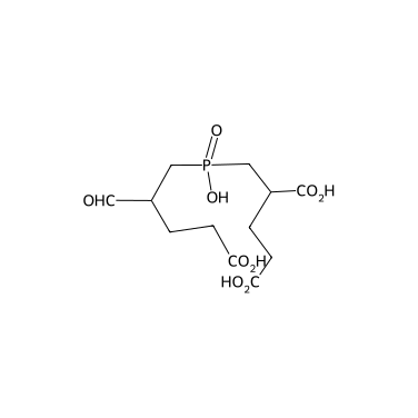 O=CC(CCC(=O)O)CP(=O)(O)CC(CCC(=O)O)C(=O)O